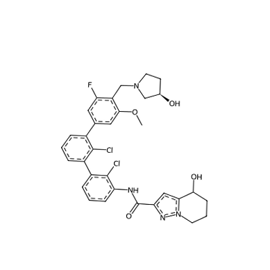 COc1cc(-c2cccc(-c3cccc(NC(=O)c4cc5n(n4)CCCC5O)c3Cl)c2Cl)cc(F)c1CN1CC[C@@H](O)C1